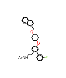 CC(=O)NCCc1ccc(OC2CCC(OCc3ccc4ccccc4c3)CC2)cc1-c1cccc(F)c1